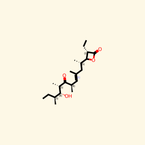 CC[C@@H]1C(=O)OC1[C@@H](C)C/C(C)=C/[C@@H](C)C(=O)[C@@H](C)[C@H](O)[C@@H](C)CC